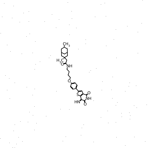 CC1CC2CC(C1)CC(C)(CC(=O)NCCCCOc1ccc(-c3cc4c(s3)C(=N)C(=O)NC4=O)cc1)C2